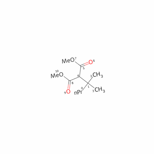 CCCC(C)(C)C(C(=O)OC)C(=O)OC